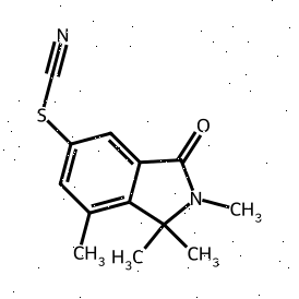 Cc1cc(SC#N)cc2c1C(C)(C)N(C)C2=O